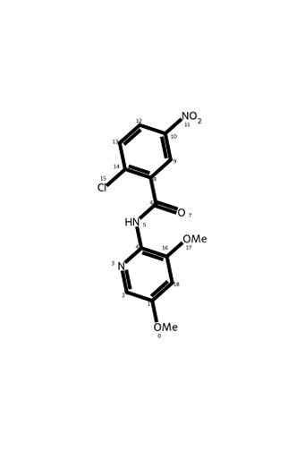 COc1cnc(NC(=O)c2cc([N+](=O)[O-])ccc2Cl)c(OC)c1